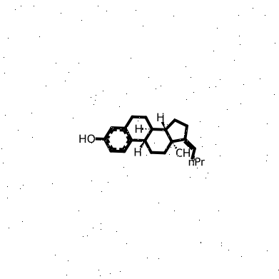 CCC/C=C1/CC[C@H]2[C@@H]3CCc4cc(O)ccc4[C@H]3CC[C@]12C